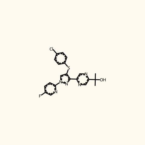 CC(C)(O)c1cnc(-c2nn(-c3ccc(F)cn3)cc2Sc2ccc(Cl)cc2)cn1